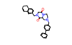 O=C1C2CN(Cc3ccc(-c4ccccc4)cc3)CCN2C(=O)CN1Cc1ccc2c(c1)C=CCC2